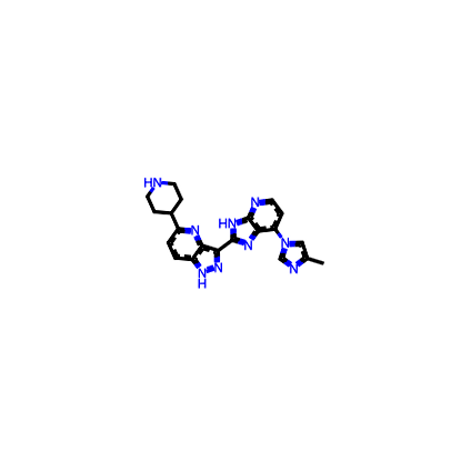 Cc1cn(-c2ccnc3[nH]c(-c4n[nH]c5ccc(C6CCNCC6)nc45)nc23)cn1